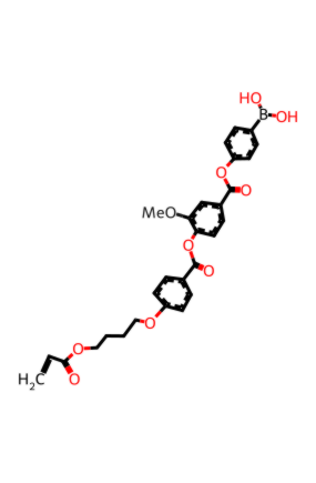 C=CC(=O)OCCCCOc1ccc(C(=O)Oc2ccc(C(=O)Oc3ccc(B(O)O)cc3)cc2OC)cc1